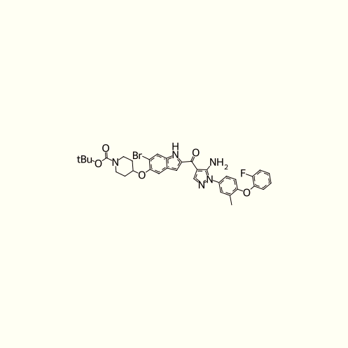 Cc1cc(-n2ncc(C(=O)c3cc4cc(OC5CCN(C(=O)OC(C)(C)C)CC5)c(Br)cc4[nH]3)c2N)ccc1Oc1ccccc1F